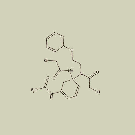 O=C(CCl)NC1(N(CCOc2ccccc2)C(=O)CCl)C=CC=C(NC(=O)C(F)(F)F)C1